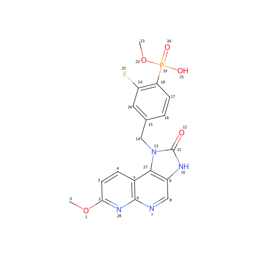 COc1ccc2c(ncc3[nH]c(=O)n(Cc4ccc(P(=O)(O)OC)c(F)c4)c32)n1